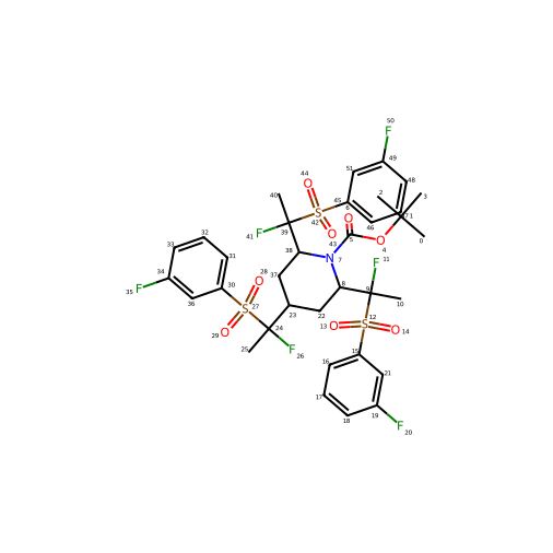 CC(C)(C)OC(=O)N1C(C(C)(F)S(=O)(=O)c2cccc(F)c2)CC(C(C)(F)S(=O)(=O)c2cccc(F)c2)CC1C(C)(F)S(=O)(=O)c1cccc(F)c1